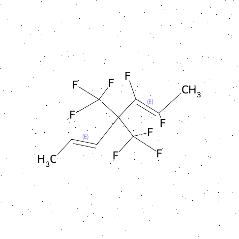 C/C=C/C(/C(F)=C(/C)F)(C(F)(F)F)C(F)(F)F